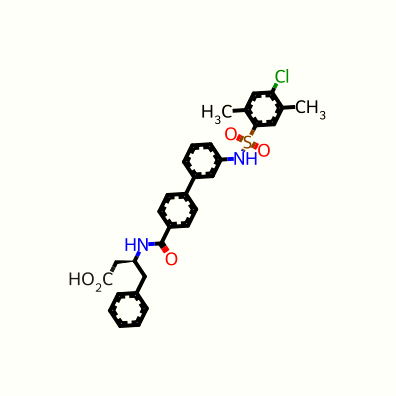 Cc1cc(S(=O)(=O)Nc2cccc(-c3ccc(C(=O)N[C@H](CC(=O)O)Cc4ccccc4)cc3)c2)c(C)cc1Cl